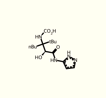 CCCCC(NC(=O)O)([C@H](O)C(=O)Nc1ccn[nH]1)C(C)(C)C